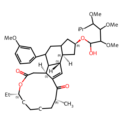 CC[C@H]1CCCC[C@@H](C)C(=O)C2=C[C@@H]3C(C(c4cccc(OC)c4)CC4C[C@@H](OC(O)C(OC)C(OC)C(OC)C(C)C)C[C@H]43)[C@@H]2CC(=O)O1